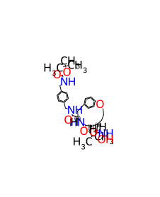 CC(C)C[C@H]1C(=O)N[C@H](C(=O)NCc2ccc(CNC(=O)OC(C)(C)C)cc2)Cc2ccc(cc2)OCCC[C@@H]1C(=O)NO